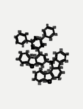 c1ccc(-c2nc(-c3ccccc3)nc(-c3cc(-n4c5ccccc5c5ccc6oc7ccccc7c6c54)cc4oc5ccccc5c34)n2)cc1